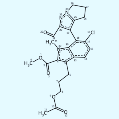 COC(=O)c1c(CCCOC(C)=O)c2ccc(Cl)c(-c3c(C=O)nn4c3CCC4)c2n1C